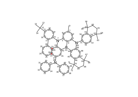 Cc1cc2c3c(c1)N(c1ccc(C(C)(C)C)cc1-c1ccccc1)c1ccc(N(c4ccccc4)c4ccccc4)cc1B3c1cc3c(cc1N2c1ccc2c(c1)C(C)(C)CCC2(C)C)C(C)(C)CCC3(C)C